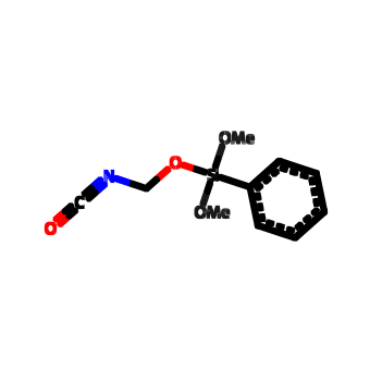 CO[Si](OC)(OCN=C=O)c1ccccc1